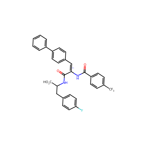 O=C(NC(Cc1ccc(F)cc1)C(=O)O)/C(=C\c1ccc(-c2ccccc2)cc1)NC(=O)c1ccc(C(F)(F)F)cc1